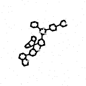 c1ccc(-c2ccc(-c3nc(-c4ccccc4)nc(-c4ccc5c(c4)C4(c6cc(-c7cccc8cccnc78)ccc6S5)c5ccccc5-c5ccccc54)n3)cc2)cc1